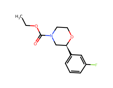 CCOC(=O)N1CCO[C@@H](c2cccc(F)c2)C1